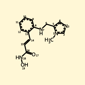 Cn1cncc1CNc1ccccc1/C=C/C(=O)NO